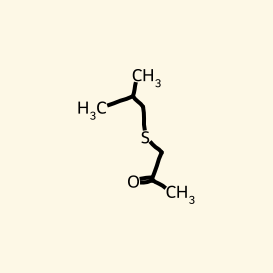 CC(=O)CSCC(C)C